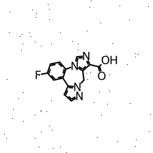 O=C(O)c1ncn2c1Cn1nccc1-c1cc(F)ccc1-2